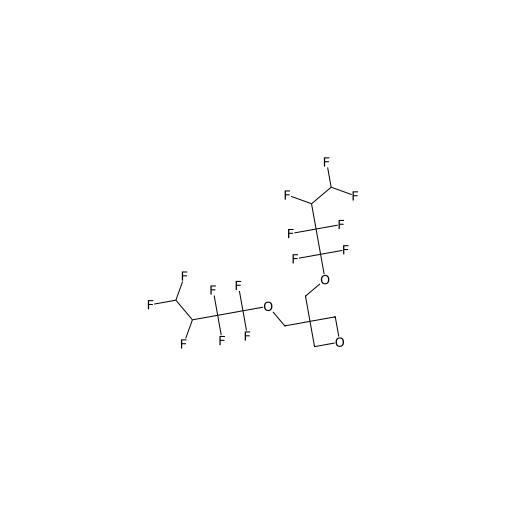 FC(F)C(F)C(F)(F)C(F)(F)OCC1(COC(F)(F)C(F)(F)C(F)C(F)F)COC1